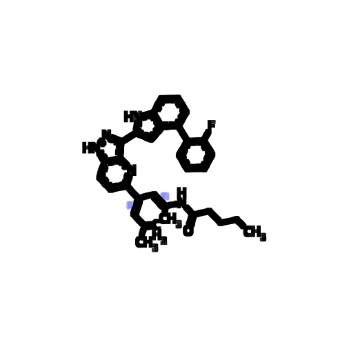 C=C(C)/C=C(\C=C(/C)NC(=O)CCCC)c1ccc2[nH]nc(-c3cc4c(-c5ccccc5F)cccc4[nH]3)c2n1